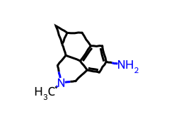 CN1Cc2cc(N)cc3c2C(C1)C1CC1C3